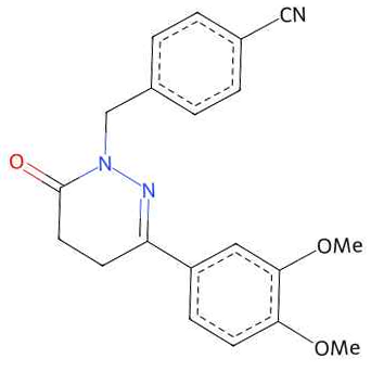 COc1ccc(C2=NN(Cc3ccc(C#N)cc3)C(=O)CC2)cc1OC